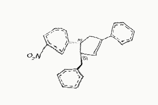 O=[N+]([O-])c1cccc([C@@H]2CC(c3ccccc3)=C[C@H]2c2ccccc2)c1